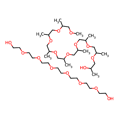 COCC(C)OCC(C)OCC(C)OCC(C)OCC(C)OCC(C)OCC(C)OCC(C)O.OCCOCCOCCOCCOCCOCCOCCO